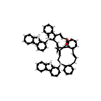 C/C1=C\CN(c2cccc3c2oc2ccccc23)c2ccccc2C/C=C/c2ccccc2C12/C(C)=C/c1c(c3ccccc3n1-c1cccc3c1oc1ccccc13)/C=C/c1ccccc12